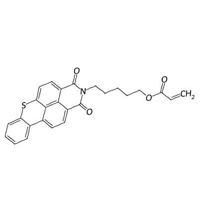 C=CC(=O)OCCCCCn1c(=O)c2ccc3sc4ccccc4c4ccc(c1=O)c2c34